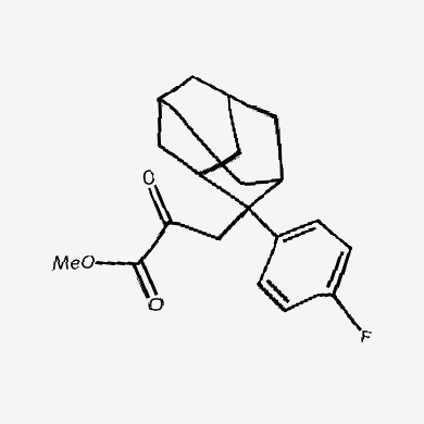 COC(=O)C(=O)CC1(c2ccc(F)cc2)C2CC3CC(C2)CC1C3